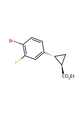 CCOC(=O)[C@@H]1C[C@H]1c1ccc(Br)c(F)c1